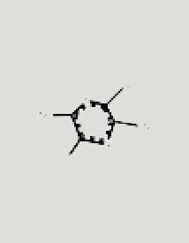 N#Cc1nc(Br)c(C#N)nc1Br